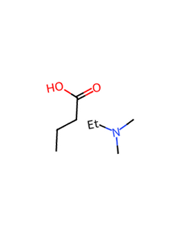 CCCC(=O)O.CCN(C)C